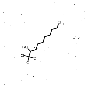 CCCCCCCCC(O)C(Cl)(Cl)Cl